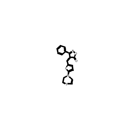 O=C1ON=C(c2ccccc2)C1=Cc1ccc(N2CCSCC2)s1